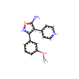 Nc1onc(-c2cccc(OC(F)(F)F)c2)c1-c1ccncc1